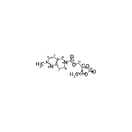 Cc1ccc2c(n1)CCN(C(=O)OCc1oc(=O)oc1C)C2